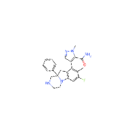 Cc1c(F)cc2c(c1-c1cnn(C)c1C(N)=O)CC1(c3ccccc3)CNCCN21